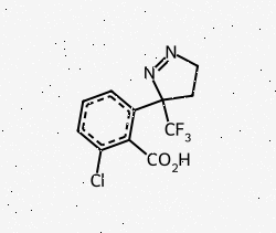 O=C(O)c1c(Cl)cccc1C1(C(F)(F)F)CCN=N1